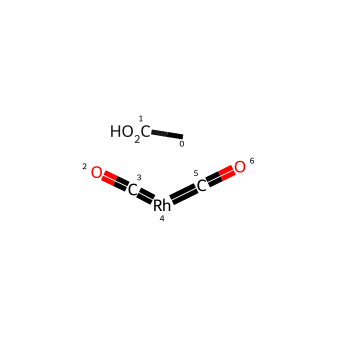 CC(=O)O.O=[C]=[Rh]=[C]=O